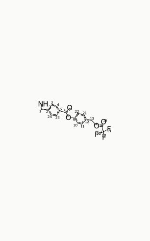 NCc1ccc(C(=O)Oc2ccc(COC(=O)C(F)(F)F)cc2)cc1